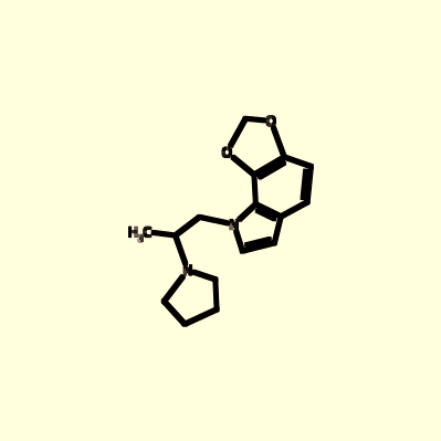 CC(Cn1ccc2ccc3c(c21)OCO3)N1CCCC1